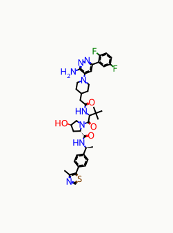 Cc1ncsc1-c1ccc([C@H](C)NC(=O)[C@@H]2C[C@@H](O)CN2C(=O)[C@@H](NC(=O)CC2CCN(c3cc(-c4cc(F)ccc4F)nnc3N)CC2)C(C)(C)C)cc1